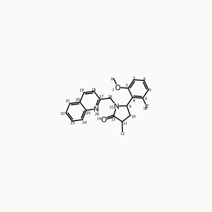 COc1cccc(F)c1C1CC(C)C(=O)N1Cc1ccc2ccccc2n1